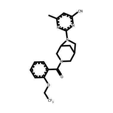 Cc1cc(C#N)nc(N2CC3CC2CN(C(=O)c2ccccc2OCC(F)(F)F)C3)n1